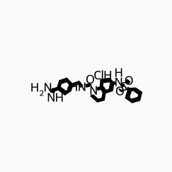 Cl.N=C(N)c1ccc(CNC(=O)N2CCCc3cc(NS(=O)(=O)c4ccccc4)ccc32)cc1